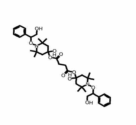 CC1(C)CC(O)(OC(=O)CCC(=O)OC2(O)CC(C)(C)N(OC(CO)c3ccccc3)C(C)(C)C2)CC(C)(C)N1OC(CO)c1ccccc1